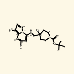 CC(C)(C)OC(=O)N1CCC(F)(CNc2cc(Cl)nc3c(Br)cnn23)CC1